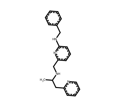 CC(Cc1ccccn1)NCc1cccc(NCc2ccccc2)n1